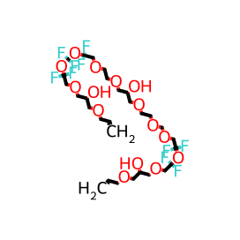 C=CCOCC(O)COCC(F)(F)OC(F)(F)COCOCCOCC(O)COCCOCC(F)(F)OC(F)(F)OC(F)(F)COCC(O)COCC=C